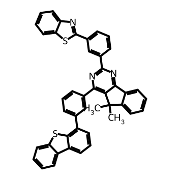 CC1(C)c2ccccc2-c2nc(-c3cccc(-c4nc5ccccc5s4)c3)nc(-c3cccc(-c4cccc5c4sc4ccccc45)c3)c21